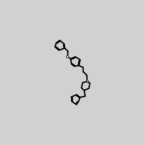 c1ccc(COc2ccc(CCCN3CCC(Cc4ccccc4)CC3)cc2)cc1